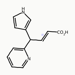 O=C(O)/C=C/C(c1cc[nH]c1)c1ccccn1